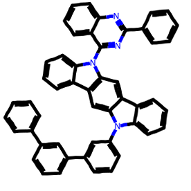 c1ccc(-c2cccc(-c3cccc(-n4c5ccccc5c5cc6c(cc54)c4ccccc4n6-c4nc(-c5ccccc5)nc5ccccc45)c3)c2)cc1